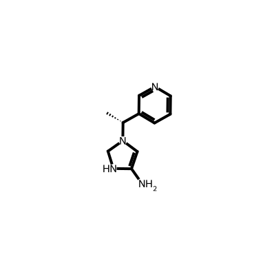 C[C@H](c1cccnc1)N1C=C(N)NC1